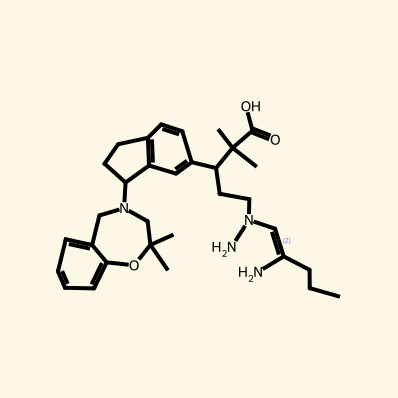 CCC/C(N)=C/N(N)CCC(c1ccc2c(c1)C(N1Cc3ccccc3OC(C)(C)C1)CC2)C(C)(C)C(=O)O